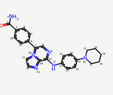 NC(=O)c1ccc(-c2cnc(Nc3ccc(N4CCCCC4)cc3)c3nccn23)cc1